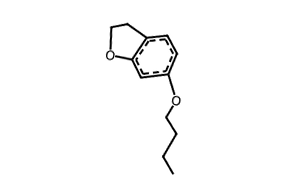 CCCCOc1ccc2c(c1)OCC2